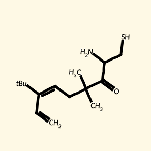 C=CC(=CCC(C)(C)C(=O)C(N)CS)C(C)(C)C